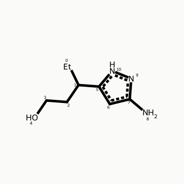 CCC(CCO)c1cc(N)n[nH]1